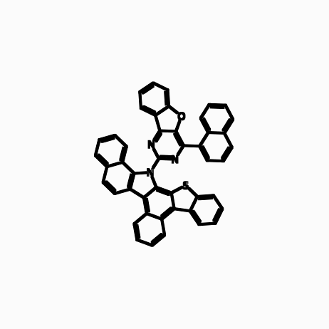 c1ccc2c(-c3nc(-n4c5c6ccccc6ccc5c5c6ccccc6c6c7ccccc7sc6c54)nc4c3oc3ccccc34)cccc2c1